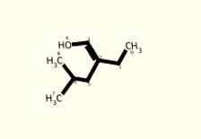 CCC(=CO)CC(C)C